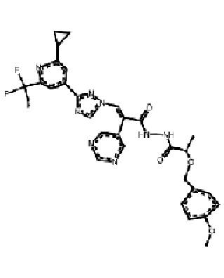 COc1ccc(COC(C)C(=O)NNC(=O)/C(=C/n2cnc(-c3cc(C4CC4)nc(C(F)(F)F)c3)n2)c2cncnc2)cc1